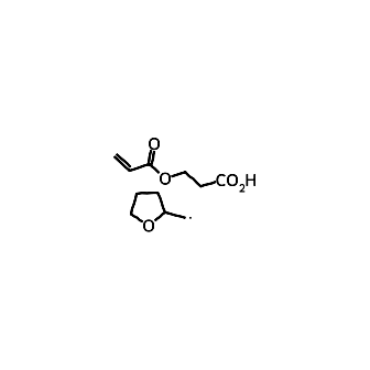 C=CC(=O)OCCC(=O)O.[CH2]C1CCCO1